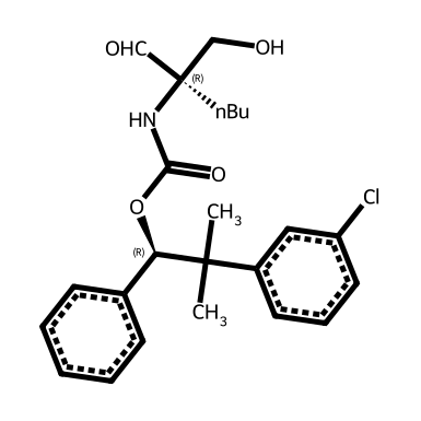 CCCC[C@](C=O)(CO)NC(=O)O[C@H](c1ccccc1)C(C)(C)c1cccc(Cl)c1